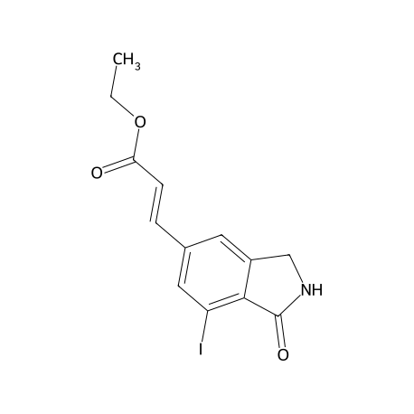 CCOC(=O)C=Cc1cc(I)c2c(c1)CNC2=O